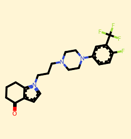 O=C1CCCc2c1ccn2CCCN1CCN(c2ccc(F)c(C(F)(F)F)c2)CC1